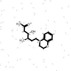 C[C@H](CCN1CCOc2ccccc21)[C@@H](O)CC(N)=O